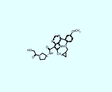 COc1ccc(OCC2CC2)c(-c2ncnc3c(C(=O)N[C@@H]4CCN(C(=O)CO)C4)c(C)[nH]c23)c1